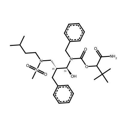 CC(C)CCN(C[C@@H](Cc1ccccc1)[C@H](O)N(Cc1ccccc1)C(=O)OC(C(N)=O)C(C)(C)C)S(C)(=O)=O